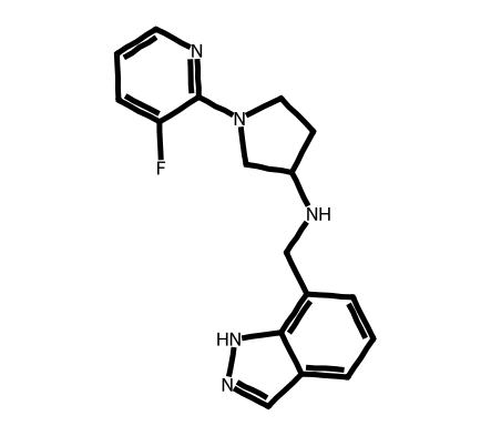 Fc1cccnc1N1CCC(NCc2cccc3cn[nH]c23)C1